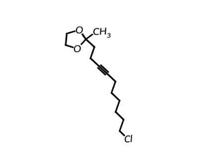 CC1(CCC#CCCCCCCCl)OCCO1